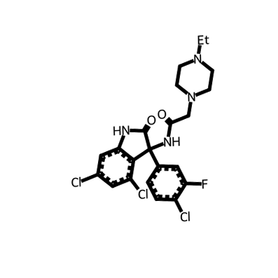 CCN1CCN(CC(=O)NC2(c3ccc(Cl)c(F)c3)C(=O)Nc3cc(Cl)cc(Cl)c32)CC1